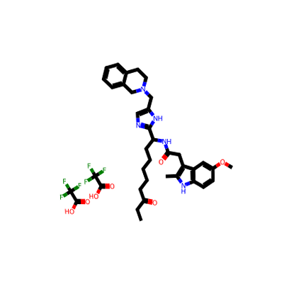 CCC(=O)CCCCCC(NC(=O)Cc1c(C)[nH]c2ccc(OC)cc12)c1ncc(CN2CCc3ccccc3C2)[nH]1.O=C(O)C(F)(F)F.O=C(O)C(F)(F)F